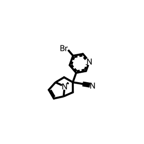 CN1C2C=CC1CC(C#N)(c1cncc(Br)c1)C2